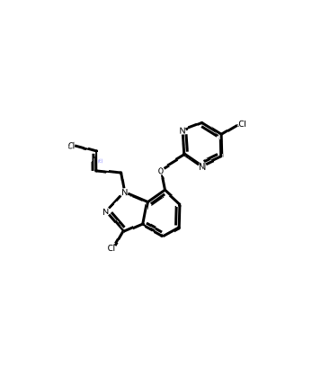 Cl/C=C/Cn1nc(Cl)c2cccc(Oc3ncc(Cl)cn3)c21